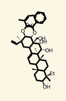 C=C[C@]1(C)CC2C3=CCC4[C@@]5(C)CC[C@H](O)[C@](C)(CC)C5CC[C@@]4(C)[C@]3(C)[C@@H](O)[C@@H](O)[C@@]2(CO)[C@@H](OC(=O)c2ccccc2)[C@@H]1OC(=O)/C(C)=C\C